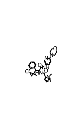 Cn1nccc1C(=O)N[C@H](C(=O)Nc1ccc(N2CCOCC2)nc1)C(c1ccccc1Cl)C1(C)CC1